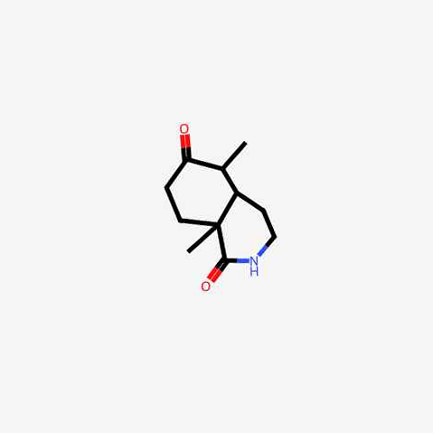 CC1C(=O)CCC2(C)C(=O)NCCC12